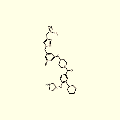 CN(C)Cc1cn(Cc2cc(F)cc(OC3CCN(C(=O)c4ccc(O[C@H]5CCNC5)c(C5CCCCC5)c4)CC3)c2)nn1